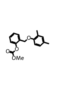 COC(=O)Oc1ccccc1COc1ccc(C)cc1C